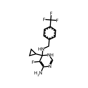 NC1=C(F)C(NCc2ccc(C(F)(F)F)cc2)(C2CC2)NC=N1